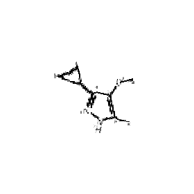 COc1c(C2CC2)n[nH]c1C